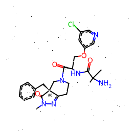 CN1N=C2CCN(C(=O)C(COc3cncc(Cl)c3)NC(=O)C(C)(C)N)C[C@@]2(Cc2ccccc2)C1=O